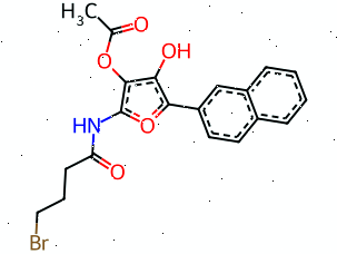 CC(=O)Oc1c(NC(=O)CCCBr)oc(-c2ccc3ccccc3c2)c1O